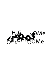 COc1cc(OC)c2c(=O)[nH]c(-c3cc(C)c(OCCN4CCOCC4)c(C)c3)cc2n1